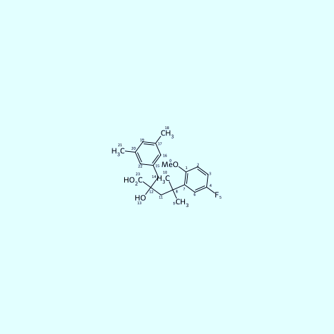 COc1ccc(F)cc1C(C)(C)CC(O)(Cc1cc(C)cc(C)c1)C(=O)O